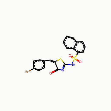 O=C1N=C(NS(=O)(=O)c2cccc3ccccc23)S/C1=C/c1ccc(Br)cc1